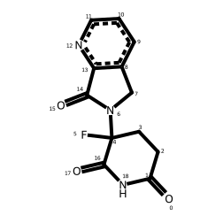 O=C1CCC(F)(N2Cc3cccnc3C2=O)C(=O)N1